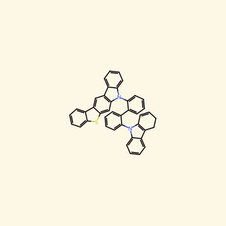 C1=Cc2c(c3ccccc3n2-c2ccccc2-c2ccccc2-n2c3ccccc3c3cc4c(cc32)sc2ccccc24)CC1